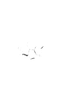 C=CCC1=C([N+](=O)[O-])C=CC(=S(=O)=O)C1CC